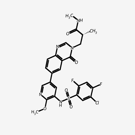 CNC(=O)[C@H](C)Cn1cnc2ccc(-c3cnc(OC)c(NS(=O)(=O)c4cc(Cl)c(F)cc4F)c3)cc2c1=O